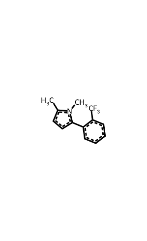 Cc1ccc(-c2ccccc2C(F)(F)F)n1C